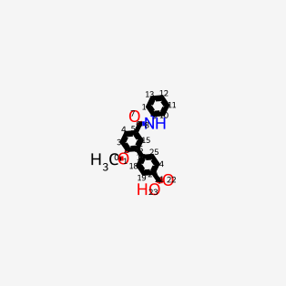 COc1ccc(C(=O)Nc2ccccc2)cc1-c1ccc(C(=O)O)cc1